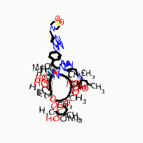 CC[C@H]1OC(=O)[C@H](C)[C@@H](O[C@H]2C[C@@](C)(OC)[C@@H](O)[C@H](C)O2)[C@H](C)[C@@H](O[C@@H]2O[C@H](C)C[C@H](N(C)CCc3cn([C@H](CF)[C@H](OC)c4ccc(-n5cc(CN6CCS(=O)(=O)CC6)nn5)cc4)nn3)[C@H]2O)[C@](C)(O)C[C@@H](C)CN(C)[C@H](C)[C@@H](O)[C@]1(C)O